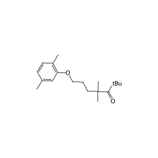 Cc1ccc(C)c(OCCCC(C)(C)C(=O)C(C)(C)C)c1